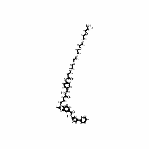 Cc1nc2cc(C(=O)Nc3nc(-c4ccccn4)cs3)ccc2n1CCCC(=O)NCc1ccc(OC(=O)CCOCCOCCOCCOCCOCCOCCN)cc1